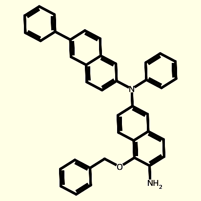 Nc1ccc2cc(N(c3ccccc3)c3ccc4cc(-c5ccccc5)ccc4c3)ccc2c1OCc1ccccc1